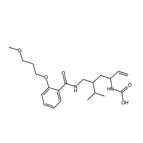 C=CC(CC(CNC(=O)c1ccccc1OCCCOC)C(C)C)NC(=O)O